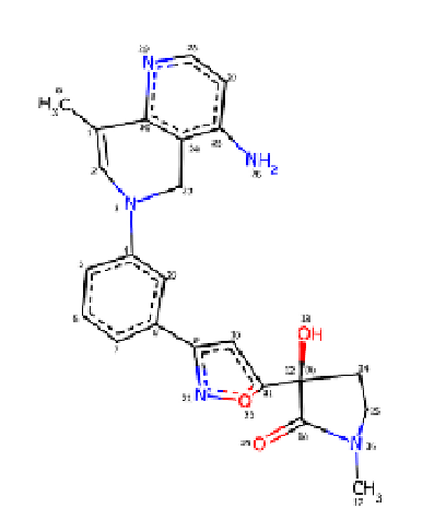 CC1=CN(c2cccc(-c3cc([C@]4(O)CCN(C)C4=O)on3)c2)Cc2c(N)ccnc21